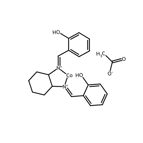 CC(=O)[O-].Oc1ccccc1C=[N+]1[Co][N+](=Cc2ccccc2O)C2CCCCC21